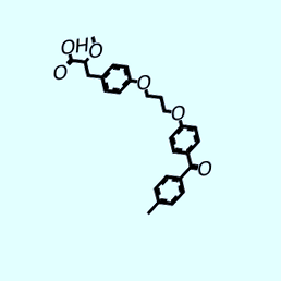 COC(Cc1ccc(OCCCOc2ccc(C(=O)c3ccc(C)cc3)cc2)cc1)C(=O)O